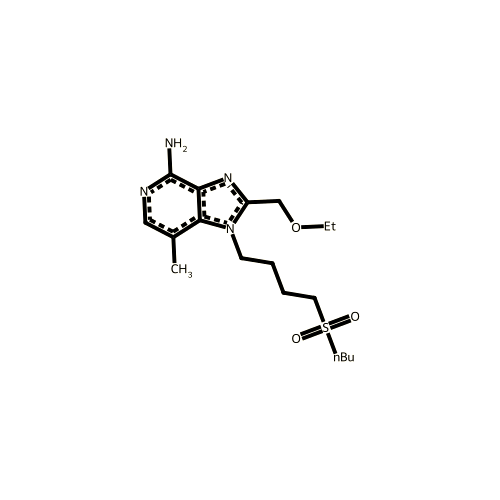 CCCCS(=O)(=O)CCCCn1c(COCC)nc2c(N)ncc(C)c21